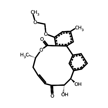 COCOc1cc(C)cc2c1C(=O)O[C@@H](C)C/C=C\C(=O)[C@@H](O)[C@H](O)c1cccc-2c1